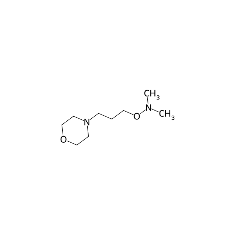 CN(C)OCCCN1CCOCC1